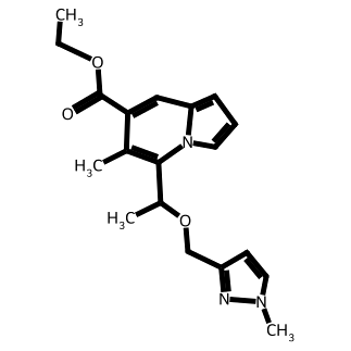 CCOC(=O)c1cc2cccn2c(C(C)OCc2ccn(C)n2)c1C